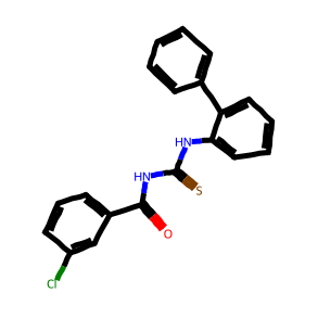 O=C(NC(=S)Nc1ccccc1-c1ccccc1)c1cccc(Cl)c1